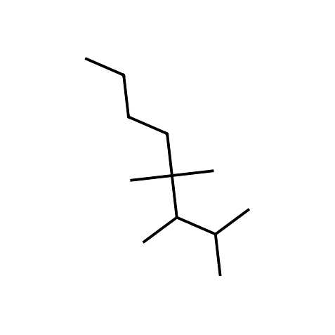 CCCCC(C)(C)C(C)C(C)C